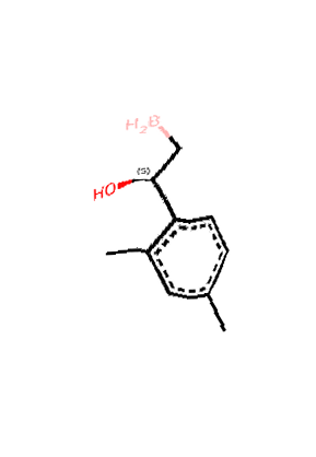 BC[C@H](O)c1ccc(C)cc1C